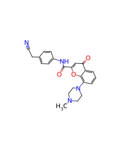 CN1CCN(c2cccc3c(=O)cc(C(=O)Nc4ccc(CC#N)cc4)oc23)CC1